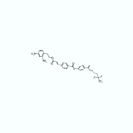 Nc1ccc(CCOC(=O)/C=C/c2ccc(C(=O)Oc3ccc(C(=O)OCCCC(F)(F)C(F)(F)F)cc3)cc2)c(N)c1